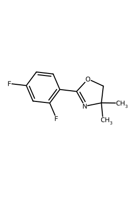 CC1(C)COC(c2ccc(F)cc2F)=N1